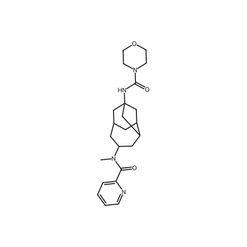 CN(C(=O)c1ccccn1)C1CC2CC3CC(NC(=O)N4CCOCC4)(C2)CC3C1